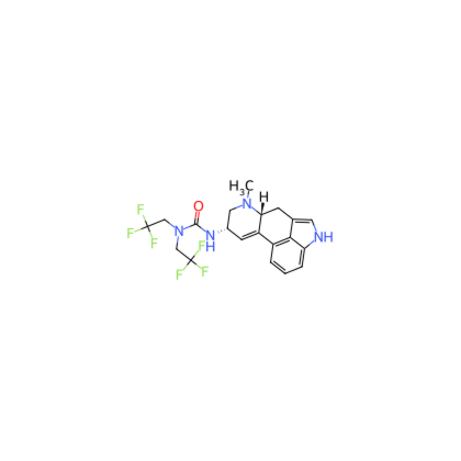 CN1C[C@@H](NC(=O)N(CC(F)(F)F)CC(F)(F)F)C=C2c3cccc4[nH]cc(c34)C[C@H]21